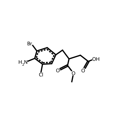 COC(=O)C(CC(=O)O)Cc1cc(Cl)c(N)c(Br)c1